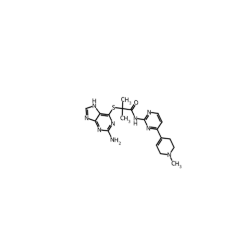 CN1CC=C(c2ccnc(NC(=O)C(C)(C)Sc3nc(N)nc4nc[nH]c34)n2)CC1